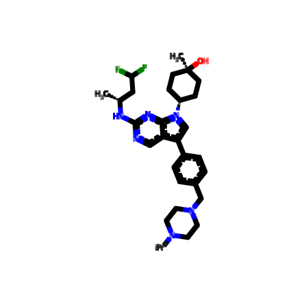 CC(C)N1CCN(Cc2ccc(-c3cn([C@H]4CC[C@](C)(O)CC4)c4nc(N[C@H](C)CC(F)F)ncc34)cc2)CC1